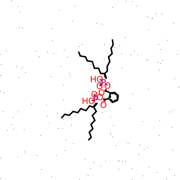 CCCCCCCCC(=CP(=O)(O)OC(=O)c1ccccc1C(=O)OP(=O)(O)C=C(CCCCCCCC)CCCCCCCC)CCCCCCCC